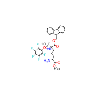 CC(C)(C)OC(=O)C(N)CCC[C@](NOc1c(F)c(F)c(F)c(F)c1F)(C(=O)O)C(=O)OCC1c2ccccc2-c2ccccc21